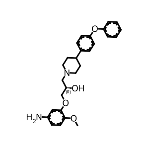 COc1ccc(N)cc1OC[C@H](O)CN1CCC(c2ccc(Oc3ccccc3)cc2)CC1